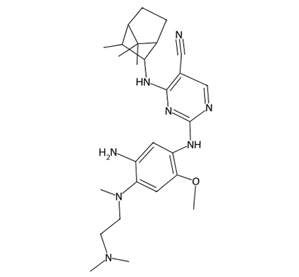 COc1cc(N(C)CCN(C)C)c(N)cc1Nc1ncc(C#N)c(NC2C(C)C3CCC2C3(C)C)n1